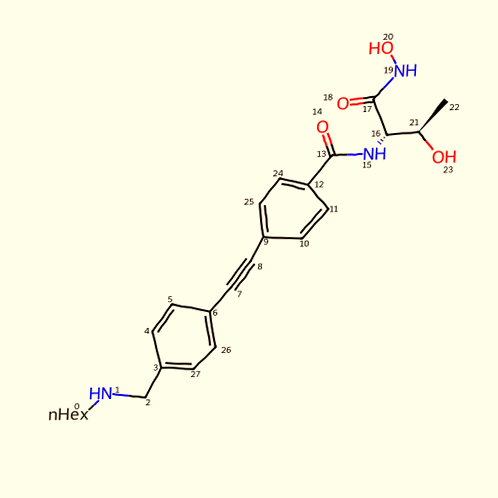 CCCCCCNCc1ccc(C#Cc2ccc(C(=O)N[C@H](C(=O)NO)[C@@H](C)O)cc2)cc1